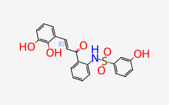 O=C(/C=C/c1cccc(O)c1O)c1ccccc1NS(=O)(=O)c1cccc(O)c1